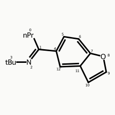 CCCC(=NC(C)(C)C)c1ccc2occc2c1